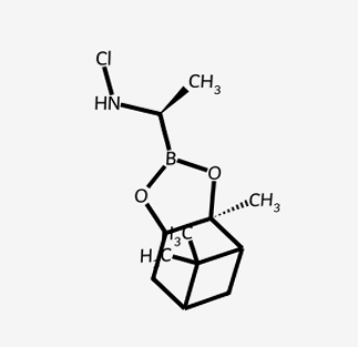 C[C@H](NCl)B1OC2CC3CC(C3(C)C)[C@]2(C)O1